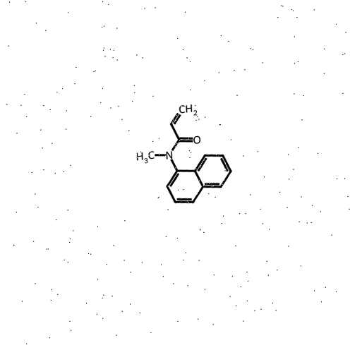 C=CC(=O)N(C)c1cccc2ccccc12